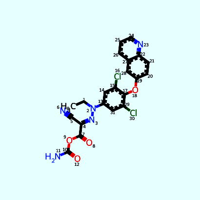 CCN(N=C(C#N)C(=O)OC(N)=O)c1cc(Cl)c(Oc2ccc3ncccc3c2)c(Cl)c1